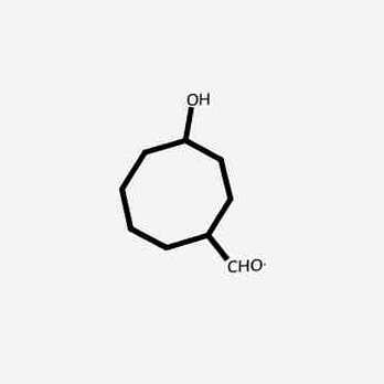 O=[C]C1CCCCC(O)CC1